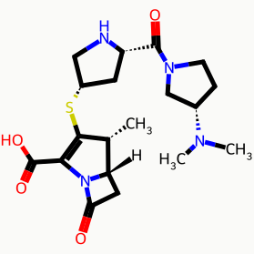 C[C@H]1C(S[C@@H]2CN[C@H](C(=O)N3CC[C@H](N(C)C)C3)C2)=C(C(=O)O)N2C(=O)C[C@@H]12